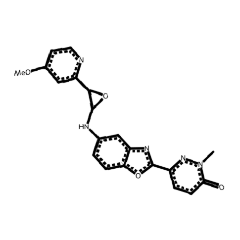 COc1ccnc(C2OC2Nc2ccc3oc(-c4ccc(=O)n(C)n4)nc3c2)c1